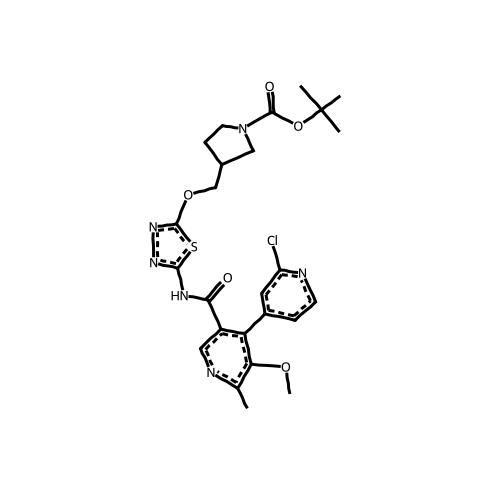 COc1c(C)ncc(C(=O)Nc2nnc(OCC3CCN(C(=O)OC(C)(C)C)C3)s2)c1-c1ccnc(Cl)c1